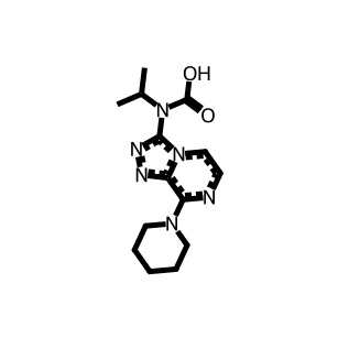 CC(C)N(C(=O)O)c1nnc2c(N3CCCCC3)nccn12